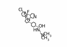 CN(C)CCNC(O)c1ccc(-c2ccc(-c3ccc(Cl)cc3)n2-c2cnccc2C(F)(F)F)cc1